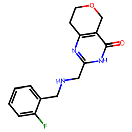 O=c1[nH]c(CNCc2ccccc2F)nc2c1COCC2